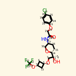 C[C@](O)(CO[C@H]1C[C@@H](OC(F)(F)F)C1)[C@H]1CC[C@H](NC(=O)COc2ccc(Cl)cc2)CO1